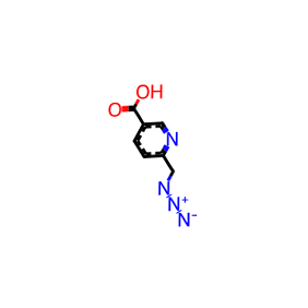 [N-]=[N+]=NCc1ccc(C(=O)O)cn1